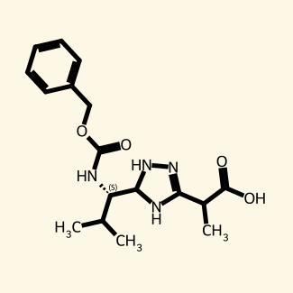 CC(C(=O)O)C1=NNC([C@@H](NC(=O)OCc2ccccc2)C(C)C)N1